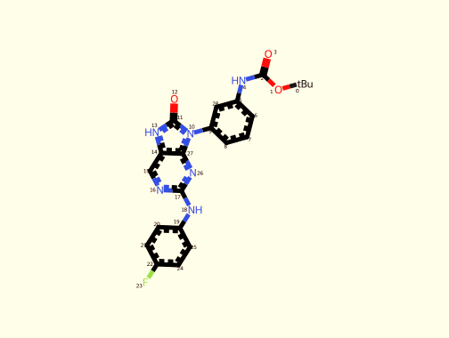 CC(C)(C)OC(=O)Nc1cccc(-n2c(=O)[nH]c3cnc(Nc4ccc(F)cc4)nc32)c1